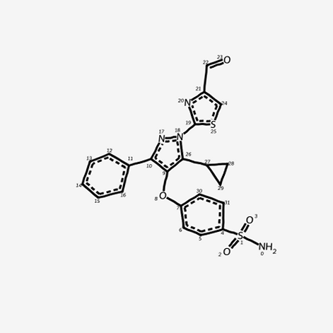 NS(=O)(=O)c1ccc(Oc2c(-c3ccccc3)nn(-c3nc(C=O)cs3)c2C2CC2)cc1